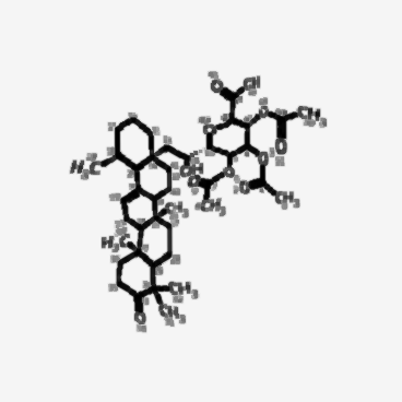 CC(=O)OC1C(OC(C)=O)[C@H](C(O)C[C@]23CCC[C@H](C)C2C2=CCC4[C@@](C)(CCC5C(C)(C)C(=O)CC[C@@]54C)C2CC3)OC(C(=O)O)[C@H]1OC(C)=O